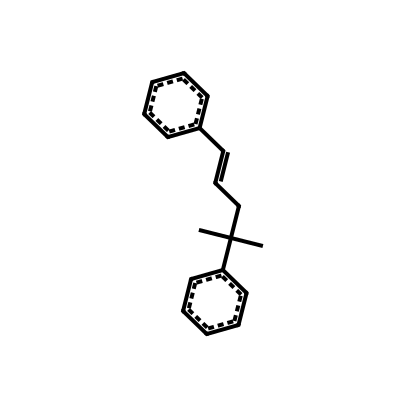 CC(C)(CC=Cc1ccccc1)c1ccccc1